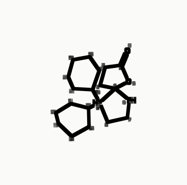 O=C1CCC2(O1)PCC[PH]2(C1CCCCC1)C1CCCCC1